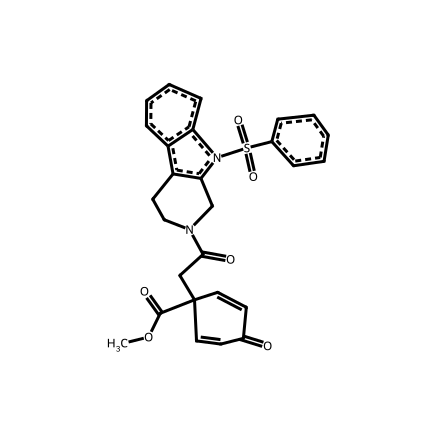 COC(=O)C1(CC(=O)N2CCc3c(n(S(=O)(=O)c4ccccc4)c4ccccc34)C2)C=CC(=O)C=C1